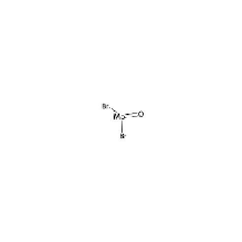 [O]=[Mo]([Br])[Br]